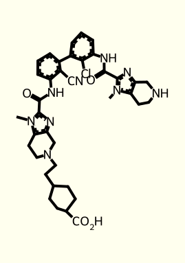 Cn1c(C(=O)Nc2cccc(-c3cccc(NC(=O)c4nc5c(n4C)CCN(CCC4CCC(C(=O)O)CC4)C5)c3C#N)c2Cl)nc2c1CCNC2